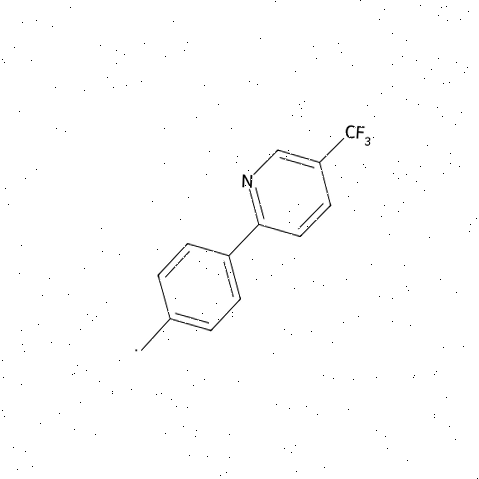 [CH2]c1ccc(-c2ccc(C(F)(F)F)cn2)cc1